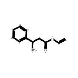 BC(CC(=O)OC=C)c1ccccc1